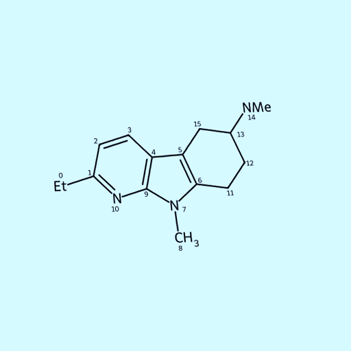 CCc1ccc2c3c(n(C)c2n1)CCC(NC)C3